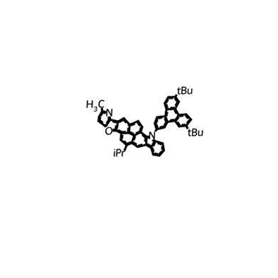 Cc1ccc2oc3c(cc4ccc5c6c(cc7c8ccccc8n(-c8ccc9c%10ccc(C(C)(C)C)cc%10c%10ccc(C(C)(C)C)cc%10c9c8)c75)c(C(C)C)cc3c46)c2n1